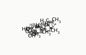 C[C@H]1[C@H](C)CC[C@]2(C)CC[C@]3(C)C(=CC[C@@H]4[C@@]5(C)CC[C@@H](O)C(C)(C(=O)O)[C@@H]5CC[C@]43C)[C@H]12